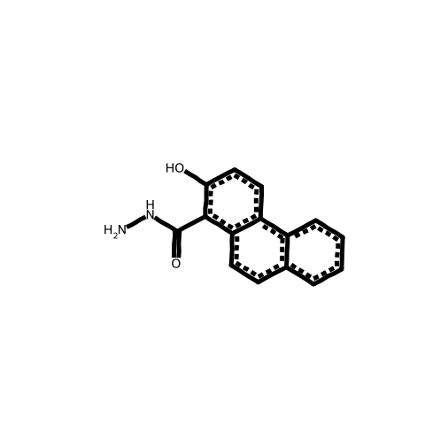 NNC(=O)c1c(O)ccc2c1ccc1ccccc12